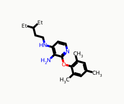 CCC(CC)CCNc1ccnc(Oc2c(C)cc(C)cc2C)c1N